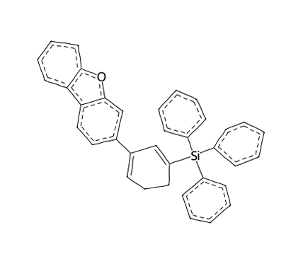 C1=C(c2ccc3c(c2)oc2ccccc23)C=C([Si](c2ccccc2)(c2ccccc2)c2ccccc2)CC1